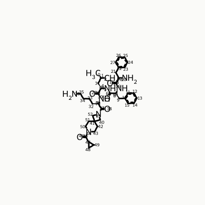 CC(C)C[C@@H](NC(=O)[C@H](Cc1ccccc1)NC(=O)[C@H](N)Cc1ccccc1)C(=O)N[C@H](CCCCN)C(=O)N1CC2(CCN(C(=O)C3CC3)CC2)C1